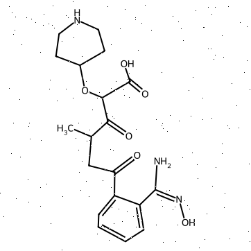 CC(CC(=O)c1ccccc1/C(N)=N\O)C(=O)C(OC1CCNCC1)C(=O)O